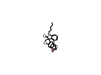 CCCCCN1C(=O)C2(COc3cc4c(cc32)OCO4)c2c(N3CCN(C)CC3)cccc21